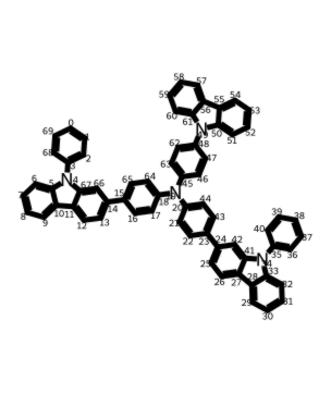 c1ccc(-n2c3ccccc3c3ccc(-c4ccc(N(c5ccc(-c6ccc7c8ccccc8n(-c8ccccc8)c7c6)cc5)c5ccc(-n6c7ccccc7c7ccccc76)cc5)cc4)cc32)cc1